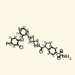 NS(=O)(=O)c1ccc2c(c1)CCC2C(=O)N1CC2(C1)CN(c1ncncc1Oc1ccc(F)cc1Cl)C2